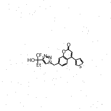 CCC(O)(c1cn(Cc2ccc3c(-c4ccsc4)cc(=O)oc3c2)nn1)C(F)(F)F